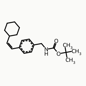 CC(C)(C)OC(=O)NCc1ccc(/C=C\C2CCCCC2)cc1